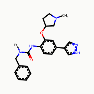 CCN(Cc1ccccc1)C(=O)Nc1ccc(-c2cn[nH]c2)cc1OC1CCN(C)C1